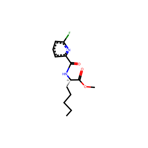 CCCCC[C@H](NC(=O)c1cccc(F)n1)C(=O)OC